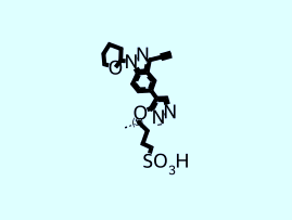 C#Cc1nn(C2CCCCO2)c2ccc(-c3cnn(C)c3O[C@@H](C)CCCS(=O)(=O)O)cc12